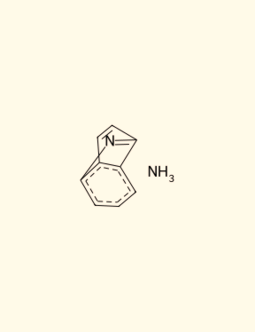 C1=Cc2c3cccc2C1=N3.N